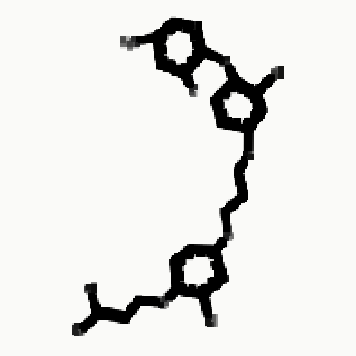 FC(F)(F)c1cnc(Oc2ccc(OCCCOc3ccc(OCC=C(Cl)Cl)c(Cl)c3)cc2Cl)c(Cl)c1